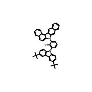 CC(C)(C)c1ccc2c(c1)c1cc(C(C)(C)C)ccc1n2-c1cccc(-n2c3cc4ccccc4cc3c3c4ccccc4ccc32)c1Br